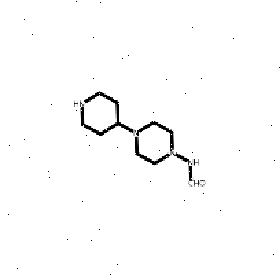 O=CNN1CCN(C2CCNCC2)CC1